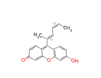 C/C=C\C=C(/C)c1c2ccc(=O)cc-2oc2cc(O)ccc12